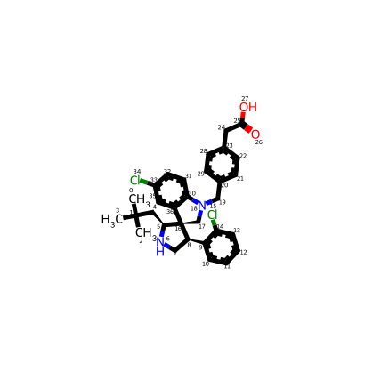 CC(C)(C)C[C@@H]1NC[C@H](c2ccccc2Cl)[C@]12CN(Cc1ccc(CC(=O)O)cc1)c1ccc(Cl)cc12